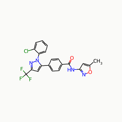 Cc1cc(NC(=O)c2ccc(-c3cc(C(F)(F)F)nn3-c3ccccc3Cl)cc2)no1